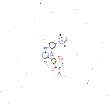 CN1[C@@H]2CC[C@H]1CN(c1ccc(Nc3ncc(C(F)(F)F)c(-c4cc5c(s4)C(=O)N(C4CC4)CCS5(=O)=O)n3)c(C3CC3)c1)C2